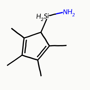 CC1=C(C)C([SiH2]N)C(C)=C1C